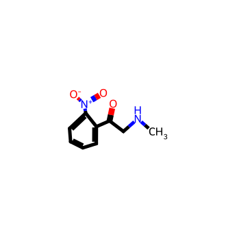 CNCC(=O)c1ccccc1[N+](=O)[O-]